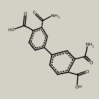 NC(=O)c1cc(-c2ccc(C(=O)O)c(C(N)=O)c2)ccc1C(=O)O